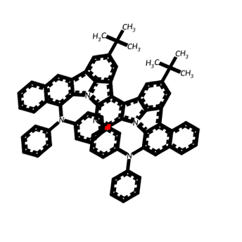 CC(C)(C)c1cc2c3c4c5cc(C(C)(C)C)cc6c7cc8ccccc8c(N(c8ccccc8)c8ccccc8)c7n(c4ncc3n3c4c(N(c7ccccc7)c7ccccc7)cc7ccccc7c4c(c1)c23)c65